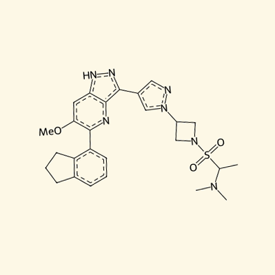 COc1cc2[nH]nc(-c3cnn(C4CN(S(=O)(=O)C(C)N(C)C)C4)c3)c2nc1-c1cccc2c1CCC2